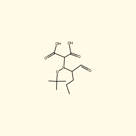 CCCC(C=O)N(OC(C)(C)C)C(C(=O)O)C(=O)O